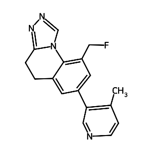 Cc1ccncc1-c1cc(CF)c2c(c1)CCc1nncn1-2